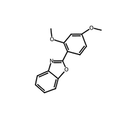 COc1ccc(-c2nc3ccccc3o2)c(OC)c1